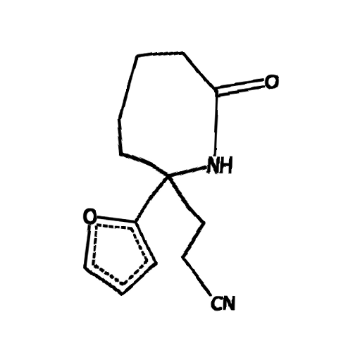 N#CCCC1(c2ccco2)CCCCC(=O)N1